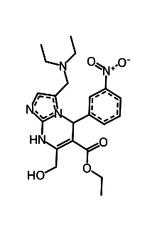 CCOC(=O)C1=C(CO)Nc2ncc(CN(CC)CC)n2C1c1cccc([N+](=O)[O-])c1